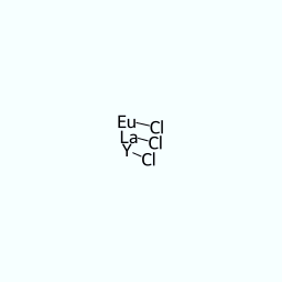 [Cl][Eu].[Cl][La].[Cl][Y]